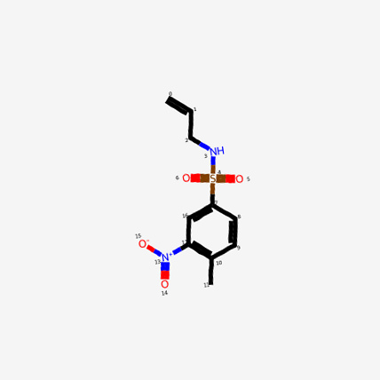 C=CCNS(=O)(=O)c1ccc(C)c([N+](=O)[O-])c1